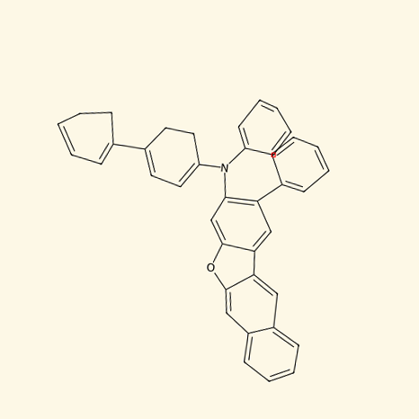 C1=CCCC(C2=CC=C(N(c3ccccc3)c3cc4oc5cc6ccccc6cc5c4cc3-c3ccccc3)CC2)=C1